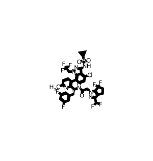 Cc1ccc(-c2ccc(Cl)c3c(NS(=O)(=O)C4CC4)nn(CC(F)(F)F)c23)c([C@H](Cc2cc(F)cc(F)c2)NC(=O)Cn2nc(C(F)F)c3c2C(F)(F)CC3)n1